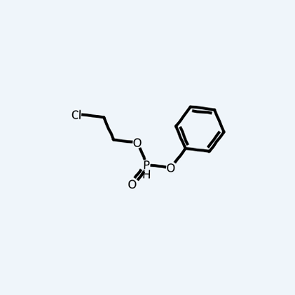 O=[PH](OCCCl)Oc1ccccc1